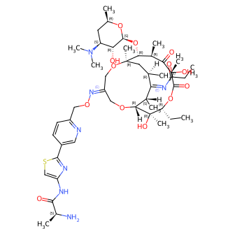 CCC(=O)/N=C1\[C@H](C)C[C@@]2(C)OC/C(=N/OCc3ccc(-c4nc(NC(=O)[C@H](C)N)cs4)cn3)CO[C@H]([C@H]1C)[C@](C)(O)[C@@H](CC)OC(=O)[C@@](C)(O)C(=O)[C@H](C)[C@H]2O[C@@H]1O[C@H](C)C[C@H](N(C)C)[C@H]1O